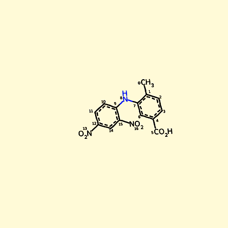 Cc1ccc(C(=O)O)cc1Nc1ccc([N+](=O)[O-])cc1[N+](=O)[O-]